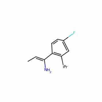 C/C=C(\N)c1ccc(F)cc1C(C)C